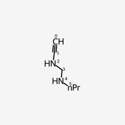 C#CNCNCCC